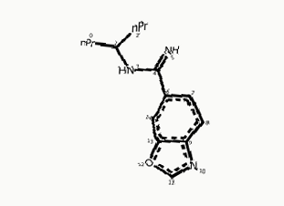 CCCC(CCC)NC(=N)c1ccc2ncoc2c1